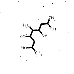 CC(O)CC(O)C(C)C(O)CC(C)O